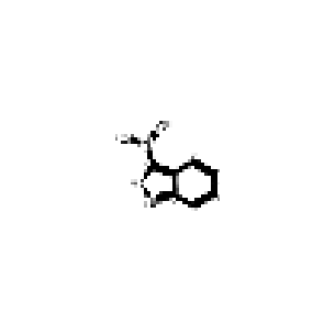 O=[N+]([O-])c1obc2ccccc12